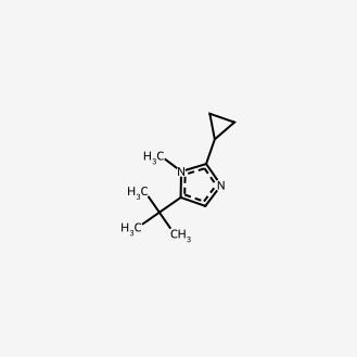 Cn1c(C(C)(C)C)cnc1C1CC1